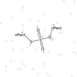 CCCCCOS(=O)(=O)SCCCCC